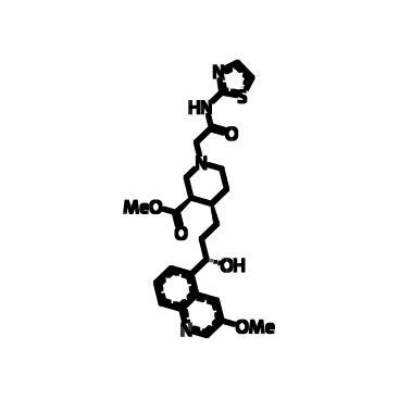 COC(=O)[C@H]1CN(CC(=O)Nc2nccs2)CC[C@H]1CC[C@H](O)c1cccc2ncc(OC)cc12